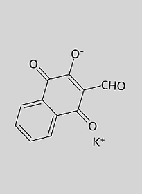 O=CC1=C([O-])C(=O)c2ccccc2C1=O.[K+]